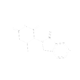 CC1CC(=O)NC(=O)C1N1Cc2ccncc2C1=O